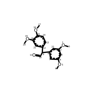 COc1cc(OC)cc(C(C=O)c2ccc(OC)c(OC)c2)c1